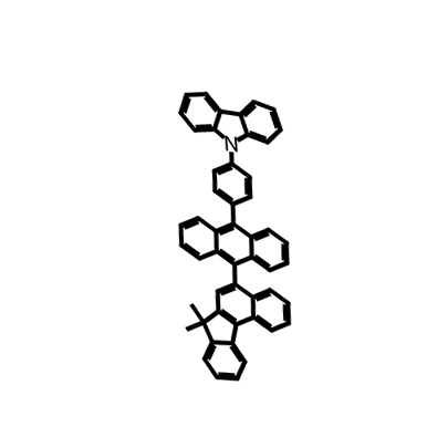 CC1(C)c2ccccc2-c2c1cc(-c1c3ccccc3c(-c3ccc(-n4c5ccccc5c5ccccc54)cc3)c3ccccc13)c1ccccc21